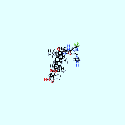 CC(C)C1=C2[C@H]3CC[C@@H]4[C@@]5(C)CC[C@H](OC(=O)[C@H]6C[C@@H](C(=O)O)C6(C)C)C(C)(C)[C@@H]5CC[C@@]4(C)[C@]3(C)CC[C@@]2(NC(=O)C(C)(C)NC(=O)c2cc(C(F)(F)F)nn2CCN2CCNCC2)CC1=O